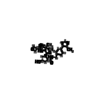 Cc1ncsc1-c1ccc(CNC(=O)[C@@H]2C[C@@H](O)CN2C(=O)[C@@H](NC(=O)C2COC2)C(C)(C)C)cc1